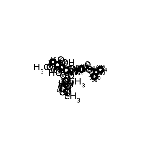 COc1cccc2c1C(=O)c1c(O)c3c(c(O)c1C2=O)C[C@@](O)(C(=O)N1CC2(CCN(C(=O)OCC4c5ccccc5-c5ccccc54)CC2)C1)C[C@@H]3O[C@H]1C[C@H]2[C@H](O[C@@H]3[C@@H](OC)OCCN32)[C@H](C)O1